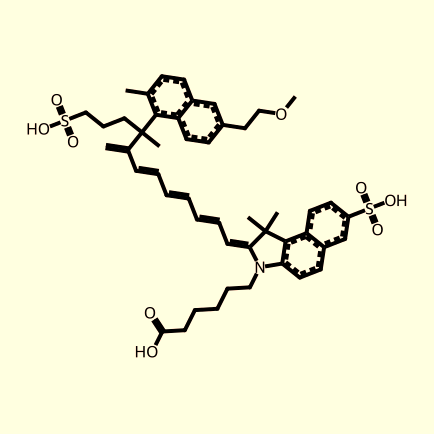 C=C(/C=C/C=C/C=C/C=C1/N(CCCCCC(=O)O)c2ccc3cc(S(=O)(=O)O)ccc3c2C1(C)C)C(C)(CCCS(=O)(=O)O)c1c(C)ccc2cc(CCOC)ccc12